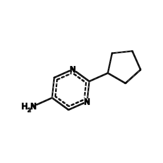 Nc1cnc(C2CCCC2)nc1